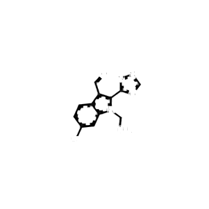 CCn1c(-c2nnco2)c(C=O)c2ccc(Cl)cc21